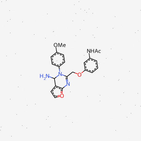 COc1ccc(N2C(COc3cccc(NC(C)=O)c3)=Nc3occc3C2N)cc1